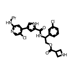 CC(C)Nc1cc(-c2c[nH]c(C(=O)NC(COC(=O)C3CNC3)c3cccc(Cl)c3)c2)c(Cl)cn1